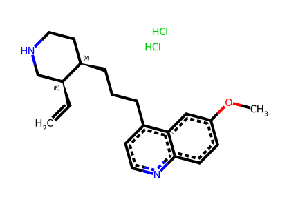 C=C[C@H]1CNCC[C@H]1CCCc1ccnc2ccc(OC)cc12.Cl.Cl